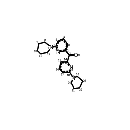 O=C(c1cccc(N2CCCCC2)n1)c1cccc(N2CCCCC2)n1